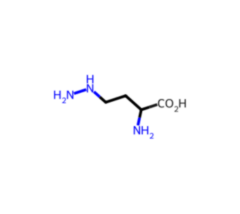 NNCCC(N)C(=O)O